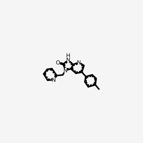 Cc1ccc(-c2cnc3[nH]c(=O)n(Cc4ccccn4)c3c2)cc1